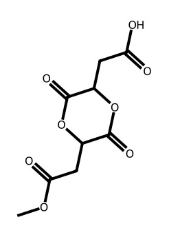 COC(=O)CC1OC(=O)C(CC(=O)O)OC1=O